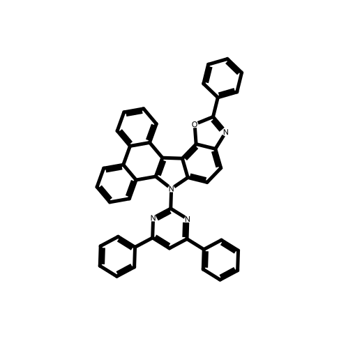 c1ccc(-c2cc(-c3ccccc3)nc(-n3c4ccc5nc(-c6ccccc6)oc5c4c4c5ccccc5c5ccccc5c43)n2)cc1